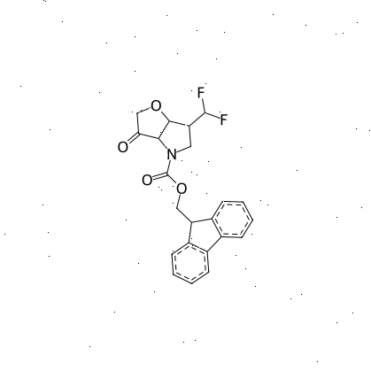 O=C1COC2C(C(F)F)CN(C(=O)OCC3c4ccccc4-c4ccccc43)C12